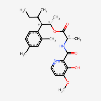 CCC(C)[C@H](c1ccc(C)cc1C)[C@H](C)OC(=O)[C@H](C)NC(=O)c1nccc(OC)c1O